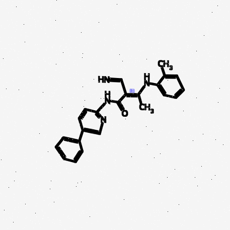 C/C(Nc1ccccc1C)=C(/C=N)C(=O)Nc1ccc(-c2ccccc2)cn1